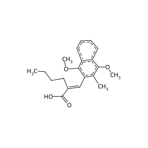 CCCCC(=Cc1c(C)c(OC)c2ccccc2c1OC)C(=O)O